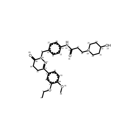 CCOc1cc(C2=NN(Cc3ccc(NC(=O)CCN4CCC(O)CC4)cc3)C(=O)CC2)ccc1OC